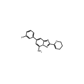 Nc1cc(-c2cccc(F)c2)cc2nc(C3=CCCCO3)nn12